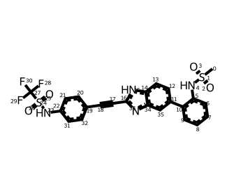 CS(=O)(=O)Nc1ccccc1-c1ccc2[nH]c(C#Cc3ccc(NS(=O)(=O)C(F)(F)F)cc3)nc2c1